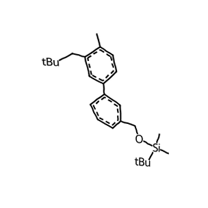 Cc1ccc(-c2cccc(CO[Si](C)(C)C(C)(C)C)c2)cc1CC(C)(C)C